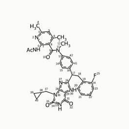 CC(=O)Nc1nc(C)cc(C)c1C(=O)N(C)c1ccc(C(Cc2ccccc2F)c2nc3c([nH]2)c(=O)[nH]c(=O)n3CC2CC2)cc1